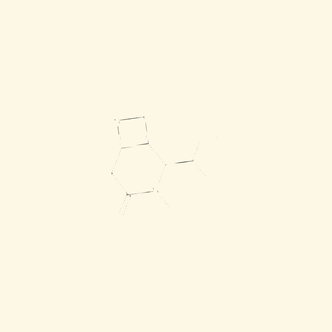 CC(C)C1C2CNC2CC(=O)N1C